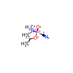 CCO[P@](=O)(C#N)N(C)C